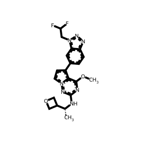 COc1nc(N[C@H](C)C2COC2)nn2ccc(-c3ccc4nnn(CC(F)F)c4c3)c12